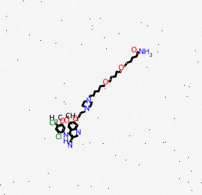 COc1cc(Nc2c(C#N)cnc3cc(OCCCN4CCN(CCCCCCOCCCCCOCCCCCC(N)=O)CC4)c(OC)cc23)c(Cl)cc1Cl